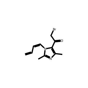 C=C/C=C\n1c(C)nc(C)c1C(=O)CBr